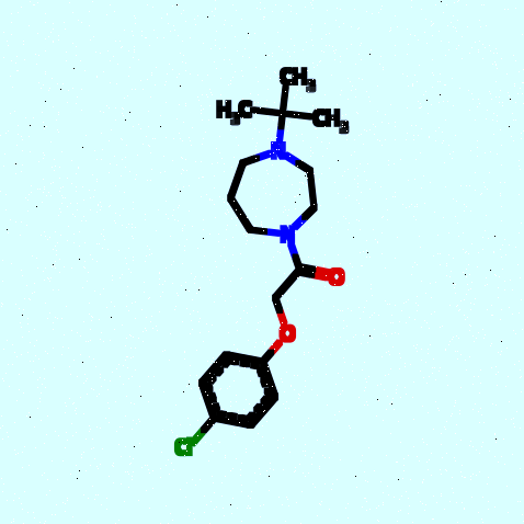 CC(C)(C)N1CCCN(C(=O)COc2ccc(Cl)cc2)CC1